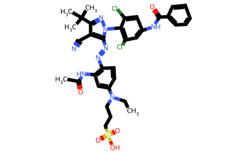 CCN(CCCS(=O)(=O)O)c1ccc(/N=N/c2c(C#N)c(C(C)(C)C)nn2-c2c(Cl)cc(NC(=O)c3ccccc3)cc2Cl)c(NC(C)=O)c1